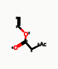 C=COC(=O)CC(C)=O